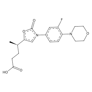 C[C@H](CCC(=O)O)c1cn(-c2ccc(N3CCOCC3)c(F)c2)c(=O)o1